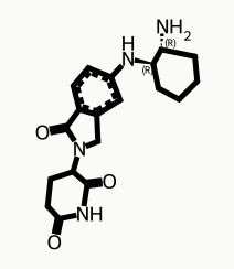 N[C@@H]1CCCC[C@H]1Nc1ccc2c(c1)CN(C1CCC(=O)NC1=O)C2=O